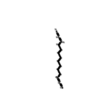 S=C=NCCCCCCCCN=C=S